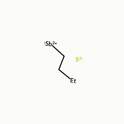 CCC[CH2][Sb+2].[S-2]